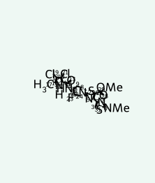 CNc1nc(-c2nc(N3CC[C@@H](NC(=O)c4[nH]c(C)c(Cl)c4Cl)[C@@H](F)C3)sc2C(=O)OC)cs1